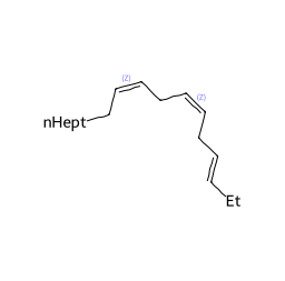 [CH2]CCCCCCC/C=C\C/C=C\CC=CCC